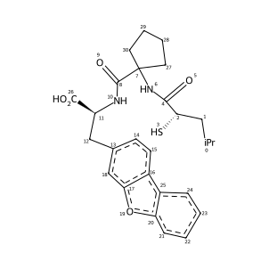 CC(C)C[C@H](S)C(=O)NC1(C(=O)N[C@@H](Cc2ccc3c(c2)oc2ccccc23)C(=O)O)CCCC1